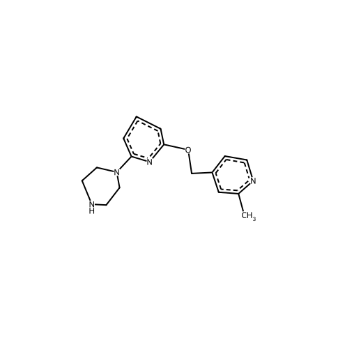 Cc1cc(COc2cccc(N3CCNCC3)n2)ccn1